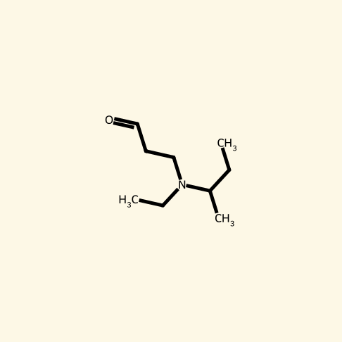 CCC(C)N(CC)CCC=O